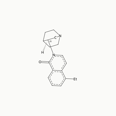 CCc1cccc2c(=O)n([C@@H]3CN4CCC3CC4)ccc12